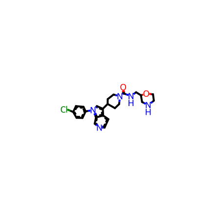 O=C(NCC1CNCCO1)N1CCC(c2cn(-c3ccc(Cl)cc3)c3cnccc23)CC1